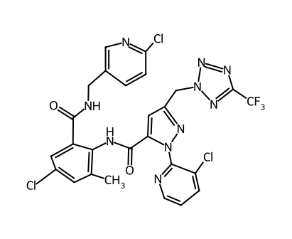 Cc1cc(Cl)cc(C(=O)NCc2ccc(Cl)nc2)c1NC(=O)c1cc(Cn2nnc(C(F)(F)F)n2)nn1-c1ncccc1Cl